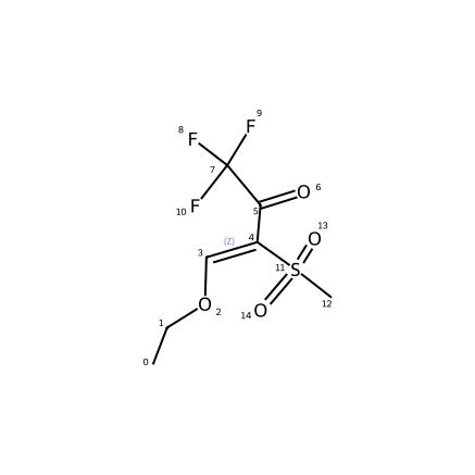 CCO/C=C(/C(=O)C(F)(F)F)S(C)(=O)=O